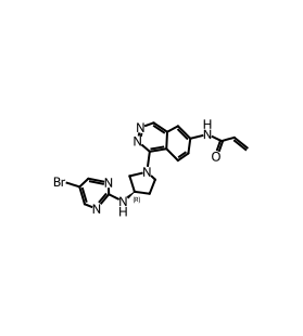 C=CC(=O)Nc1ccc2c(N3CC[C@@H](Nc4ncc(Br)cn4)C3)nncc2c1